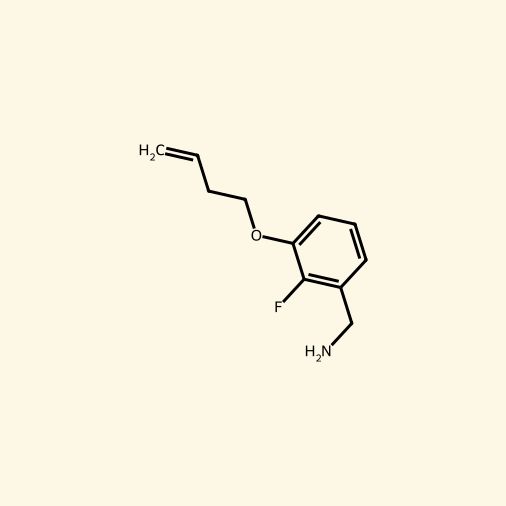 C=CCCOc1cccc(CN)c1F